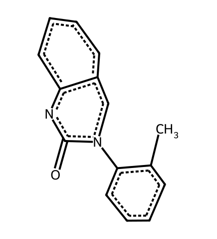 Cc1ccccc1-n1cc2ccccc2nc1=O